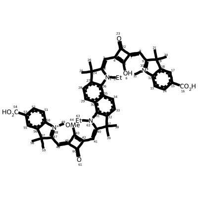 CCN1C(=CC2=C(O)C(=CC3=[N+](C)c4ccc(C(=O)O)cc4C3(C)C)C2=O)C(C)(C)c2ccc3c4c(ccc3c21)C(C)(C)C(=CC1=C(OC)C(=CC2=[N+](C)c3ccc(C(=O)O)cc3C2(C)C)C1=O)N4CC